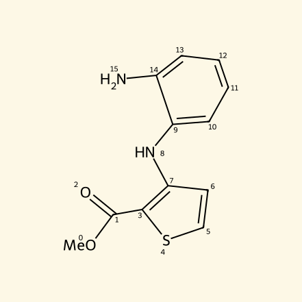 COC(=O)c1sccc1Nc1ccccc1N